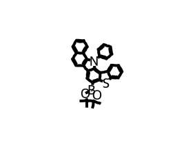 CC1(C)OB(c2cc3c4ccc5ccccc5c4n(-c4ccccc4)c3c3c2sc2ccccc23)OC1(C)C